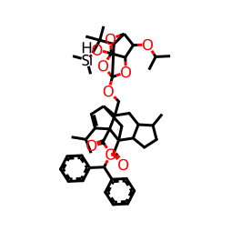 CC(C)OC1C2OC3(O[SiH](C)C)OC(OCC45CC6C(C)CCC6C6(C=O)CC4C=C(C(C)C)C65C(=O)OC(c4ccccc4)c4ccccc4)(OC13)C2C(C)(C)C